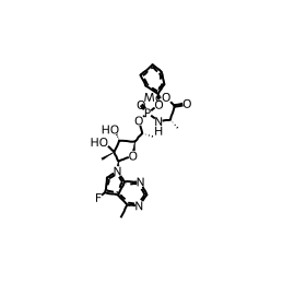 COC(=O)[C@H](C)NP(=O)(Oc1ccccc1)O[C@H](C)[C@H]1O[C@@H](n2cc(F)c3c(C)ncnc32)[C@](C)(O)[C@@H]1O